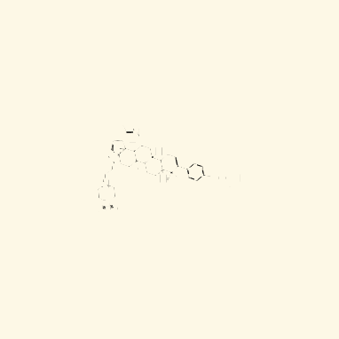 CC(=N)[C@@H]1CC[C@]2(NCCN3CCS(=O)(=O)CC3)CC[C@]3(C)[C@H](CC[C@@H]4[C@@]5(C)CC=C(c6ccc(C(=O)O)cc6)C(C)(C)[C@@H]5CC[C@]43C)[C@@H]12